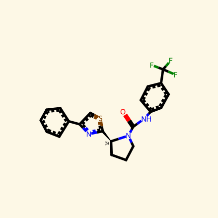 O=C(Nc1ccc(C(F)(F)F)cc1)N1CCC[C@H]1c1nc(-c2ccccc2)cs1